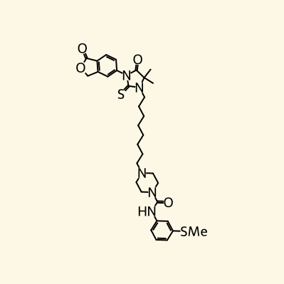 CSc1cccc(NC(=O)N2CCN(CCCCCCCCN3C(=S)N(c4ccc5c(c4)COC5=O)C(=O)C3(C)C)CC2)c1